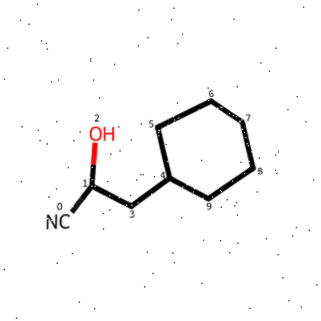 N#CC(O)CC1CCCCC1